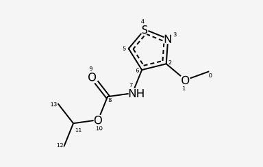 COc1nscc1NC(=O)OC(C)C